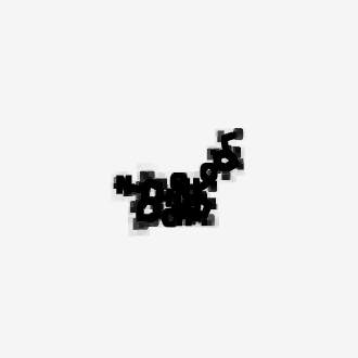 CCc1cccc(OCC[C@@]23CC[C@@](C)(O2)[C@H]2C(=O)N(c4ccc(C#N)c5ccccc45)C(=O)[C@H]23)c1